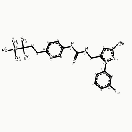 CC(C)(C)c1cc(CNC(=O)Nc2ccc(CCC(C)(C)[Si](C)(C)O)nc2)n(-c2cccc(F)c2)n1